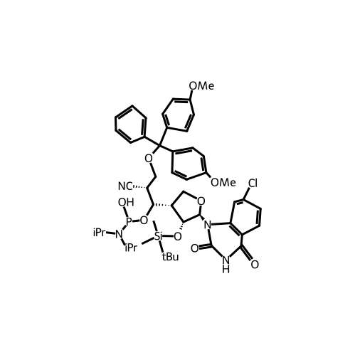 COc1ccc(C(OC[C@@H](C#N)C(OP(O)N(C(C)C)C(C)C)[C@@H]2CO[C@@H](n3c(=O)[nH]c(=O)c4ccc(Cl)cc43)[C@@H]2O[Si](C)(C)C(C)(C)C)(c2ccccc2)c2ccc(OC)cc2)cc1